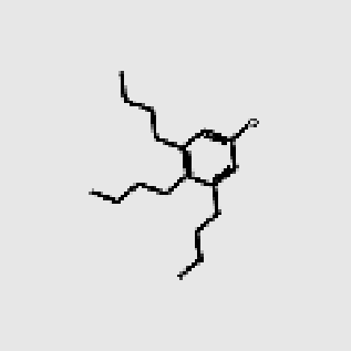 CCCCc1cc([O])cc(CCCC)c1CCCC